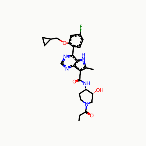 CCC(=O)N1CC[C@H](NC(=O)c2c(C)[nH]c3c(-c4ccc(F)cc4OCC4CC4)ncnc23)[C@H](O)C1